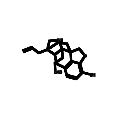 C=CC[N+]12CCC34COc5c(O)ccc(c53)CC1C4(CCC=O)NC2